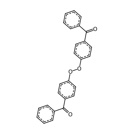 O=C(c1ccccc1)c1ccc(OOc2ccc(C(=O)c3ccccc3)cc2)cc1